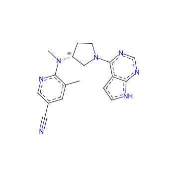 Cc1cc(C#N)cnc1N(C)[C@@H]1CCN(c2ncnc3[nH]ccc23)C1